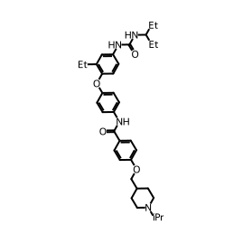 CCc1cc(NC(=O)NC(CC)CC)ccc1Oc1ccc(NC(=O)c2ccc(OCC3CCN(C(C)C)CC3)cc2)cc1